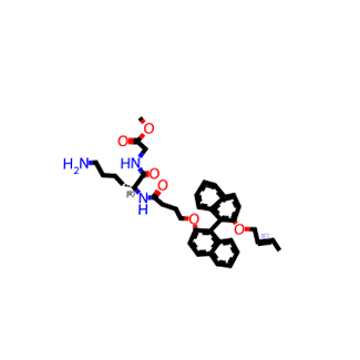 C/C=C/COc1ccc2ccccc2c1-c1c(OCCCC(=O)N[C@H](CCCCN)C(=O)NCC(=O)OC)ccc2ccccc12